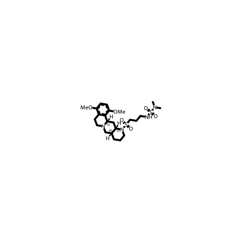 COc1ccc(OC)c2c1CCN1C[C@H]3CCCN(S(=O)(=O)CCCNS(=O)(=O)N(C)C)[C@H]3C[C@@H]21